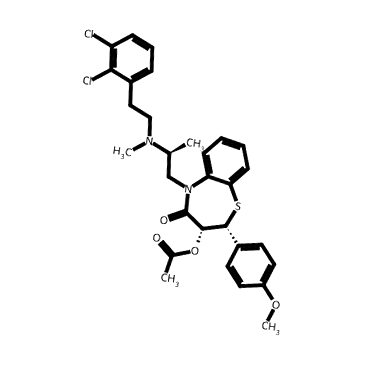 COc1ccc([C@H]2Sc3ccccc3N(C[C@H](C)N(C)CCc3cccc(Cl)c3Cl)C(=O)[C@H]2OC(C)=O)cc1